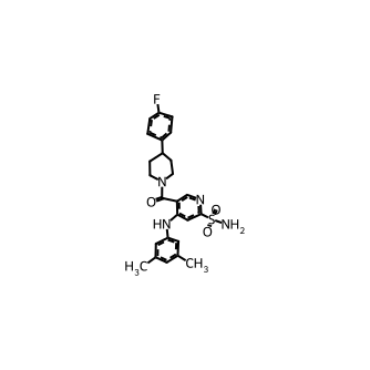 Cc1cc(C)cc(Nc2cc(S(N)(=O)=O)ncc2C(=O)N2CCC(c3ccc(F)cc3)CC2)c1